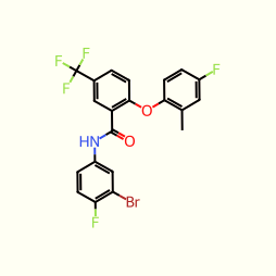 Cc1cc(F)ccc1Oc1ccc(C(F)(F)F)cc1C(=O)Nc1ccc(F)c(Br)c1